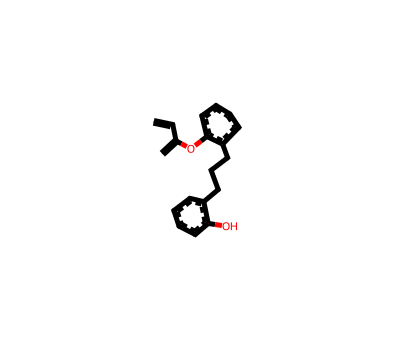 C=CC(=C)Oc1ccccc1CCCc1ccccc1O